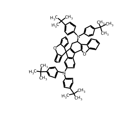 CC(C)(C)c1ccc(N(c2ccc(C(C)(C)C)cc2)c2ccc3c(c2)C2(C4=C3c3oc5ccccc5c3C(N(c3ccc(C(C)(C)C)cc3)c3ccc(C(C)(C)C)cc3)C4)c3ccccc3Oc3ccccc32)cc1